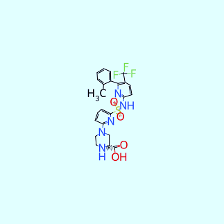 Cc1ccccc1-c1nc(NS(=O)(=O)c2cccc(N3CCN[C@@H](C(=O)O)C3)n2)ccc1C(F)(F)F